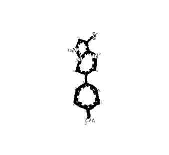 Cc1ccc(-c2cnc3c(Br)cnn3c2)cc1